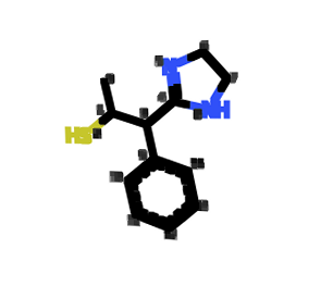 CC(S)C(C1=NCCN1)c1ccccc1